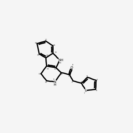 O=C(Cc1cccs1)C1NCCc2c1[nH]c1ccccc21